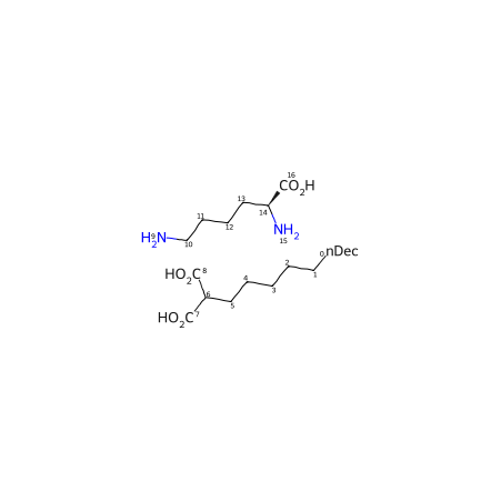 CCCCCCCCCCCCCCCC(C(=O)O)C(=O)O.NCCCC[C@H](N)C(=O)O